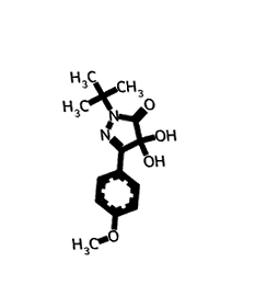 COc1ccc(C2=NN(C(C)(C)C)C(=O)C2(O)O)cc1